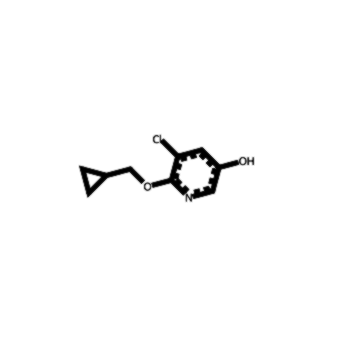 Oc1cnc(OCC2CC2)c(Cl)c1